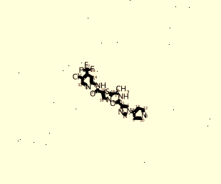 C[C@@H](NC(=O)c1cn(-c2ccncc2)cn1)c1ncc(C(=O)Nc2cc(C(F)(F)F)c(Cl)cn2)s1